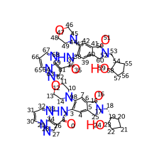 O=C(Nc1cc2c(cc1N1CCOCC1)C(=O)N(C[C@@H]1CCC[C@@H]1O)C2)c1cnn2cccnc12.O=C(Nc1cc2c(cc1N1CCOCC1)C(=O)N(C[C@H]1CCC[C@H]1O)C2)c1cnn2cccnc12